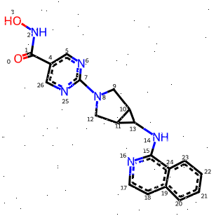 O=C(NO)c1cnc(N2CC3C(C2)C3Nc2nccc3ccccc23)nc1